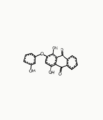 O=C1c2ccccc2C(=O)c2c(O)c(Oc3cccc(O)c3)cc(O)c21